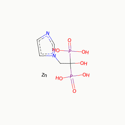 O=P(O)(O)C(O)(Cn1ccnc1)P(=O)(O)O.[Zn]